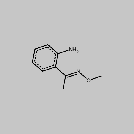 CON=C(C)c1ccccc1N